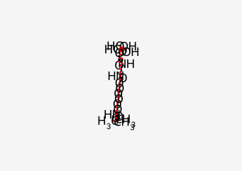 CC(C)(C)OC(=O)NCCOCCOCCOCCOCCOCCOCCC(=O)NCCCCCC(=O)Nc1ccc(CCO[C@@H]2O[C@H](CO)[C@@H](O)[C@H](O)[C@H]2O)cc1